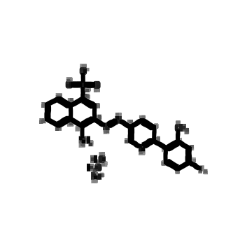 Cc1cc(F)ccc1-c1ccc(N=Nc2cc(S(=O)(=O)[O-])c3ccccc3c2N)cn1.O.O.[Na+]